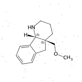 COC[C@]12CCCN[C@H]1c1ccccc1C2